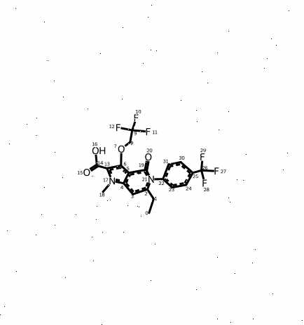 CCc1cc2c(c(OCC(F)(F)F)c(C(=O)O)n2C)c(=O)n1-c1ccc(C(F)(F)F)cc1